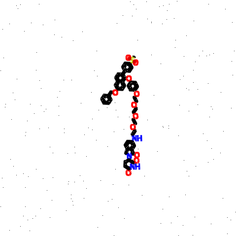 CS(=O)(=O)c1ccc(-c2ccc3cc(OCc4ccccc4)ccc3c2Oc2ccc(OCCOCCOCCOCCNc3ccc4c(c3)C(=O)N(C3CCC(=O)NC3=O)C4)cc2)cc1